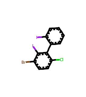 Clc1ccc(Br)c(I)c1-c1ccccc1I